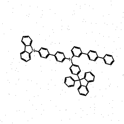 c1ccc(-c2ccc(-c3cccc(N(c4ccc(-c5ccc(-n6c7ccccc7c7ccccc76)cc5)cc4)c4ccc(C5(c6ccccc6)c6ccccc6-c6ccccc65)cc4)c3)cc2)cc1